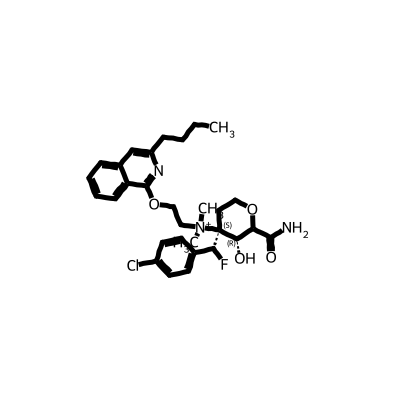 CCCCc1cc2ccccc2c(OCC[N+](C)(C)[C@@]2(C(F)c3ccc(Cl)cc3)CCOC(C(N)=O)[C@@H]2O)n1